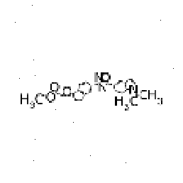 CCOC(=O)COC1CCc2cc(-c3noc(-c4ccc5c(ccn5C(C)C)c4)n3)ccc21